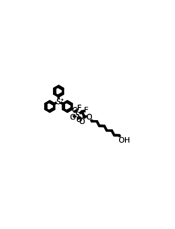 O=C(OCCCCCCCCO)C(F)(F)S(=O)(=O)[O-].c1ccc([S+](c2ccccc2)c2ccccc2)cc1